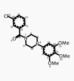 COc1cc(N2CCN(C(=O)c3cccc(Cl)c3)CC2)cc(OC)c1OC